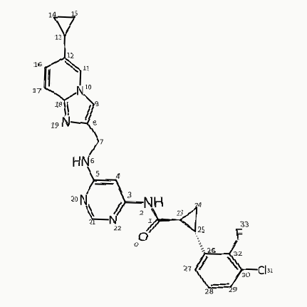 O=C(Nc1cc(NCc2cn3cc(C4CC4)ccc3n2)ncn1)[C@H]1C[C@@H]1c1cccc(Cl)c1F